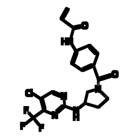 C=CC(=O)Nc1ccc(C(=O)N2CCC(Nc3ncc(Cl)c(C(F)(F)F)n3)C2)cc1